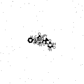 [2H]c1cn([C@@H]2O[C@H](C([2H])([2H])O[P@@](=O)(N[C@@H](C)C(=O)OC(C)C)Oc3ccccc3)[C@@H](O)C23CC3)c(=O)[nH]c1=O